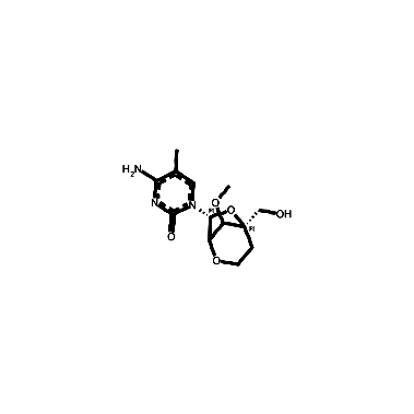 COC1C2OCC[C@]1(CO)O[C@H]2n1cc(C)c(N)nc1=O